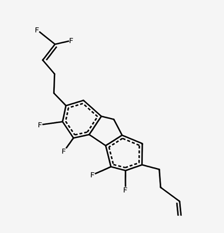 C=CCCc1cc2c(c(F)c1F)-c1c(cc(CCC=C(F)F)c(F)c1F)C2